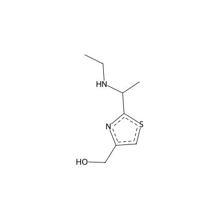 CCNC(C)c1nc(CO)cs1